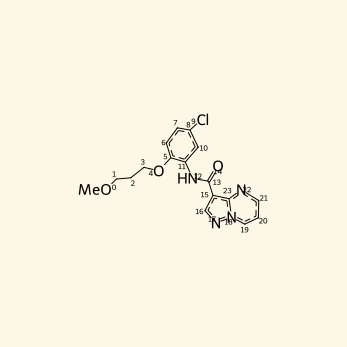 COCCCOc1ccc(Cl)cc1NC(=O)c1cnn2cccnc12